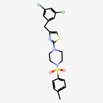 Cc1ccc(S(=O)(=O)N2CCN(c3nc(Cc4cc(Cl)cc(Cl)c4)cs3)CC2)cc1